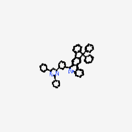 c1ccc(-c2cc(-c3cccc(-c4nc5ccccc5c5cc6c(cc45)-c4ccccc4C6(c4ccccc4)c4ccccc4)c3)nc(-c3ccccc3)n2)cc1